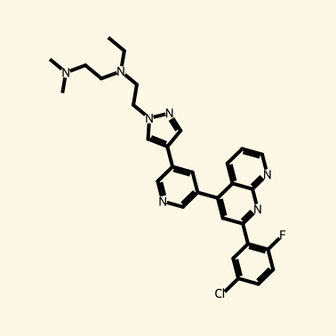 CCN(CCN(C)C)CCn1cc(-c2cncc(-c3cc(-c4cc(Cl)ccc4F)nc4ncccc34)c2)cn1